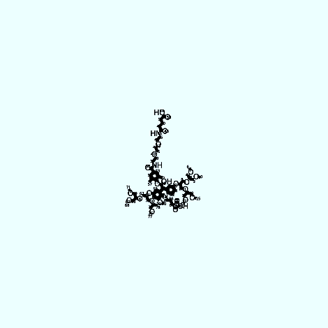 COCC(COC)OCC(COC(COC)COC)Oc1ccc2c(c1)c(C(O)Oc1c(C)cc(C(=O)NCCOCCOCCNC(=O)CCCC(=O)O)cc1C)c1cc(OC(COC(COC)COC)COC(COC)COC)ccc1[n+]2CCCS(=O)(=O)O